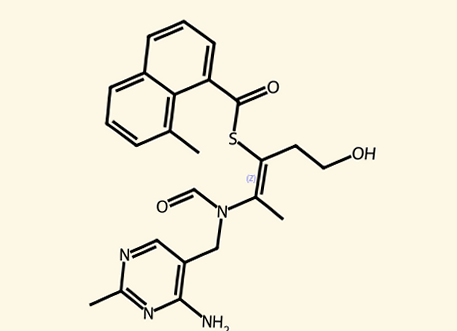 C/C(=C(\CCO)SC(=O)c1cccc2cccc(C)c12)N(C=O)Cc1cnc(C)nc1N